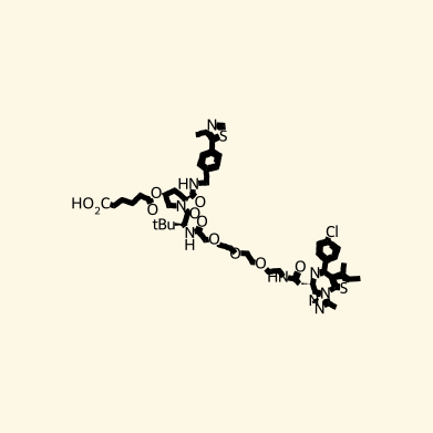 Cc1ncsc1-c1ccc(CNC(=O)[C@@H]2C[C@@H](OC(=O)CCCCC(=O)O)CN2C(=O)[C@@H](NC(=O)COCCOCCOCCNC(=O)C[C@@H]2N=C(c3ccc(Cl)cc3)c3c(sc(C)c3C)-n3c(C)nnc32)C(C)(C)C)cc1